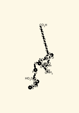 Cc1c(Nc2nc3ccccc3s2)nnc2c1CCCN2c1nc(C(=O)O)c(CCCOc2ccc(C#CC[N+](C)(C)Cc3ccc(NC(=O)[C@H](CCCNC(N)=O)NC(=O)[C@@H](NC(=O)CCOCCN4C(=O)C=CC4=O)C(C)C)cc3CN(C)C(=O)OCc3cn(CCOCCOCCOCCOCCOCCOCCOCCOCCC(=O)O)nn3)cc2F)s1